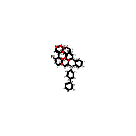 Fc1ccccc1-c1cccc2cccc(-c3cccc(N(c4ccc(-c5ccccc5)cc4)c4ccccc4-c4ccc(-c5ccccc5)cc4)c3)c12